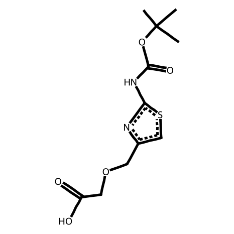 CC(C)(C)OC(=O)Nc1nc(COCC(=O)O)cs1